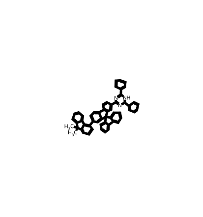 CC1(C)c2ccccc2-c2c(-c3ccc4c(c3)C3(c5ccccc5-c5ccccc53)c3cc(C5=NC(c6ccccc6)NC(c6ccccc6)=N5)ccc3-4)cccc21